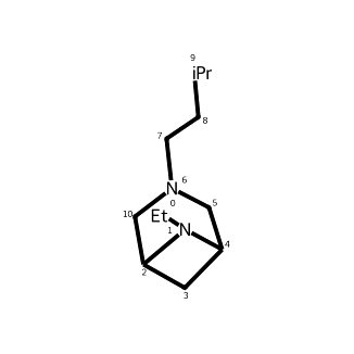 CCN1C2CC1CN(CCC(C)C)C2